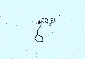 CCOC(=O)NCCC1CCCC1